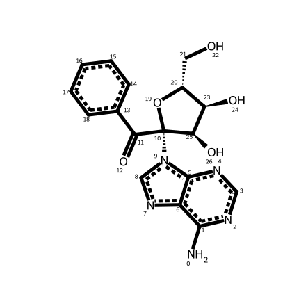 Nc1ncnc2c1ncn2[C@]1(C(=O)c2ccccc2)O[C@H](CO)[C@@H](O)[C@H]1O